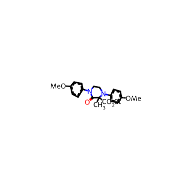 CCOC(=O)C1(C)C(=O)N(c2ccc(OC)cc2)CCN1c1ccc(OC)cc1